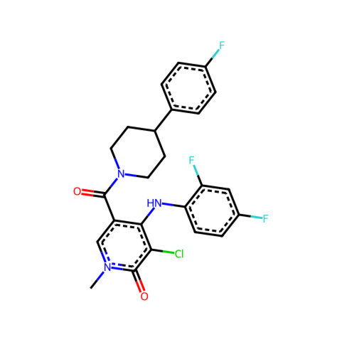 Cn1cc(C(=O)N2CCC(c3ccc(F)cc3)CC2)c(Nc2ccc(F)cc2F)c(Cl)c1=O